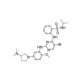 COc1ccc(N2CCC(N(C)C)C2)cc1Nc1ncc(Br)c(Nc2ccccc2S(=O)(=O)NC(C)C)n1